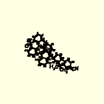 CCc1nc2cccc3c2n1-c1c(-c2c4ccccc4c(-c4ccc5c(c4)C(C)(C)c4cc(C#N)ccc4-5)c4ccccc24)cccc1S3(=O)=O